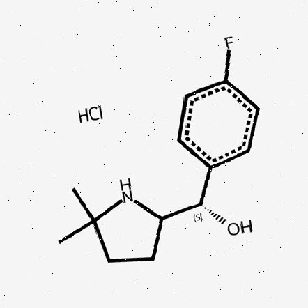 CC1(C)CCC([C@@H](O)c2ccc(F)cc2)N1.Cl